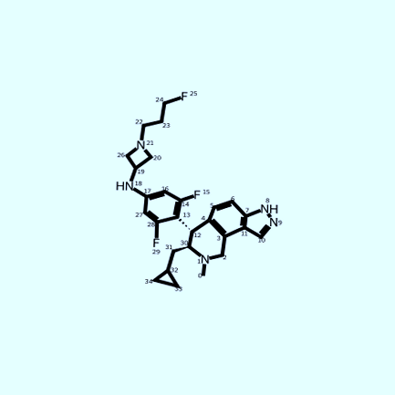 CN1Cc2c(ccc3[nH]ncc23)[C@@H](c2c(F)cc(NC3CN(CCCF)C3)cc2F)[C@@H]1CC1CC1